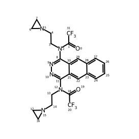 O=C(N(CCN1CC1)c1nnc(N(CCN2CC2)C(=O)C(F)(F)F)c2cc3ccccc3cc12)C(F)(F)F